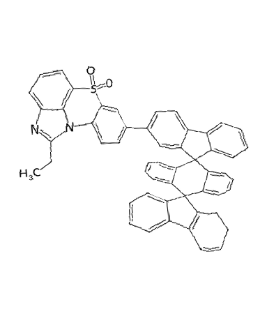 CCc1nc2cccc3c2n1-c1ccc(-c2ccc4c(c2)C2(c5ccccc5-4)c4ccccc4C4(C5=C(C=CCC5)c5ccccc54)c4ccccc42)cc1S3(=O)=O